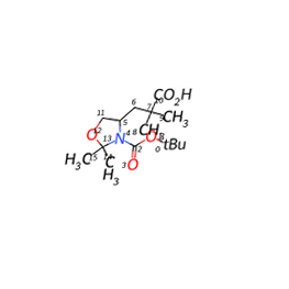 CC(C)(C)OC(=O)N1C(CC(C)(C)C(=O)O)COC1(C)C